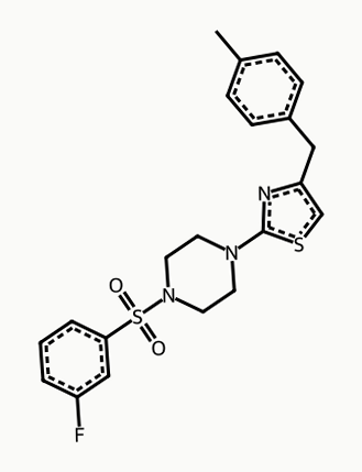 Cc1ccc(Cc2csc(N3CCN(S(=O)(=O)c4cccc(F)c4)CC3)n2)cc1